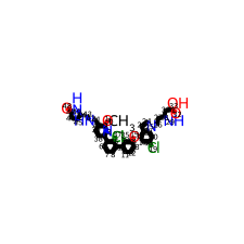 COc1nc(-c2cccc(-c3cccc(Oc4cc(Cl)cc5c4ccn5CCC(=N)CC(=O)O)c3Cl)c2Cl)ccc1CNC[C@@H]1CCC(=O)N1